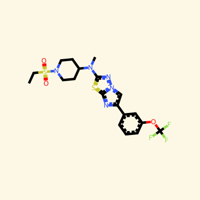 CCS(=O)(=O)N1CCC(N(C)c2nn3cc(-c4cccc(OC(F)(F)F)c4)nc3s2)CC1